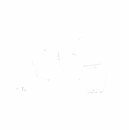 NC1=CC2SC2(C(=O)c2ccccc2)C=C1